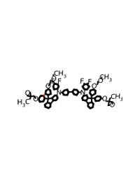 CCOCCOc1ccc(C2(c3ccc(OCC4(CC)COC4)cc3)c3ccccc3-c3ccc(N(c4ccc(-c5ccc(N(c6ccc(F)c(F)c6)c6ccc7c(c6)C(c6ccc(OCCOC)cc6)(c6ccc(OCC8(CC)COC8)cc6)c6ccccc6-7)cc5)cc4)c4ccc(F)c(F)c4)cc32)cc1